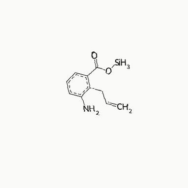 C=CCc1c(N)cccc1C(=O)O[SiH3]